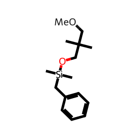 COCC(C)(C)CO[Si](C)(C)Cc1ccccc1